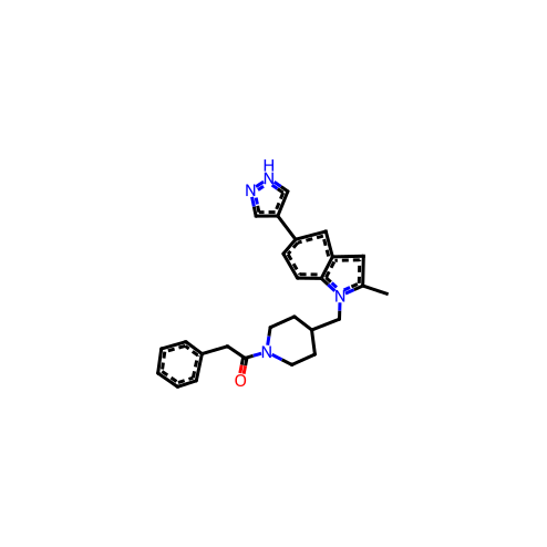 Cc1cc2cc(-c3cn[nH]c3)ccc2n1CC1CCN(C(=O)Cc2ccccc2)CC1